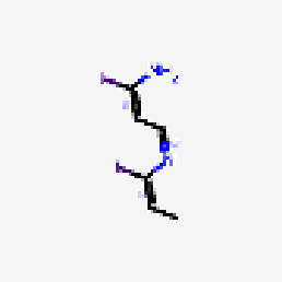 C\C=C(I)/N=C\C=C(/N)I